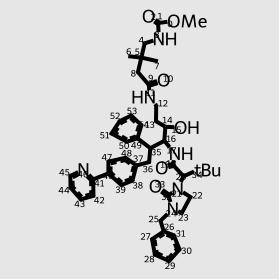 COC(=O)NCC(C)(C)CC(=O)NCCC(O)C(NC(=O)C(N1CCN(Cc2ccccc2)C1=O)C(C)(C)C)C(Cc1ccc(-c2ccccn2)cc1)c1ccccc1